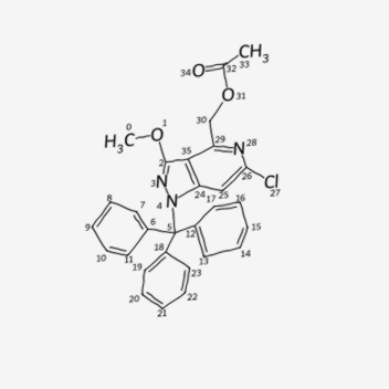 COc1nn(C(c2ccccc2)(c2ccccc2)c2ccccc2)c2cc(Cl)nc(COC(C)=O)c12